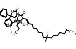 CCCCCCCC(F)(F)CCCCCC/C=C/[C@H](C(=O)N1C(=S)OC(c2ccccc2)(c2ccccc2)[C@@H]1C(C)C)[C@@](O)(CCC)C(=O)O